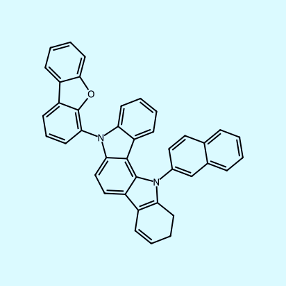 C1=Cc2c(n(-c3ccc4ccccc4c3)c3c2ccc2c3c3ccccc3n2-c2cccc3c2oc2ccccc23)CC1